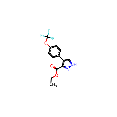 CCOC(=O)c1n[nH]cc1-c1ccc(OC(F)(F)F)cc1